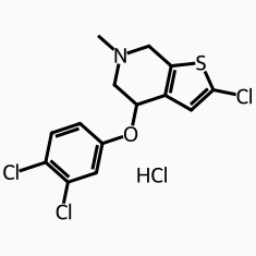 CN1Cc2sc(Cl)cc2C(Oc2ccc(Cl)c(Cl)c2)C1.Cl